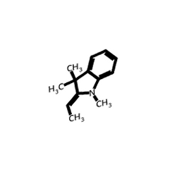 CC=C1N(C)c2ccccc2C1(C)C